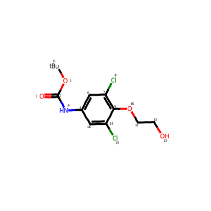 CC(C)(C)OC(=O)Nc1cc(Cl)c(OCCO)c(Cl)c1